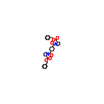 O=C(OCc1ccccc1)[C@H]1CCCN1C(=O)C1CCC(C(=O)N2CCC[C@@H]2C(=O)OCc2ccccc2)CC1